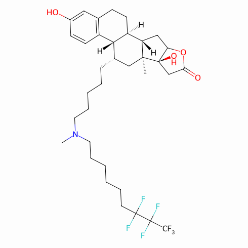 CN(CCCCCCC(F)(F)C(F)(F)C(F)(F)F)CCCCC[C@H]1C[C@@]2(C)[C@@H](CC3OC(=O)C[C@@]32O)[C@@H]2CCc3cc(O)ccc3[C@@H]12